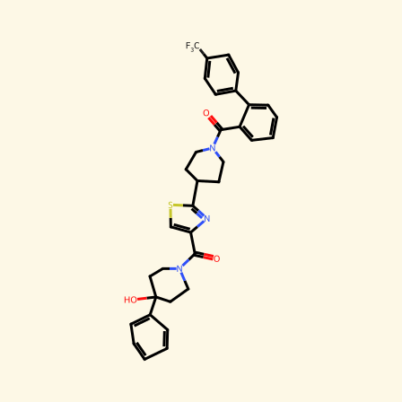 O=C(c1csc(C2CCN(C(=O)c3ccccc3-c3ccc(C(F)(F)F)cc3)CC2)n1)N1CCC(O)(c2ccccc2)CC1